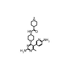 Cc1nc(N)nc(N2CCC(NC(=O)C3CCN(C)CC3)CC2)c1-c1ccc(N)nc1